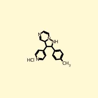 Cc1ccc(C2NN3C=CN=CC3C2c2ccncc2)cc1.Cl